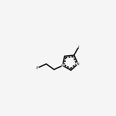 FCCn1cnc(I)c1